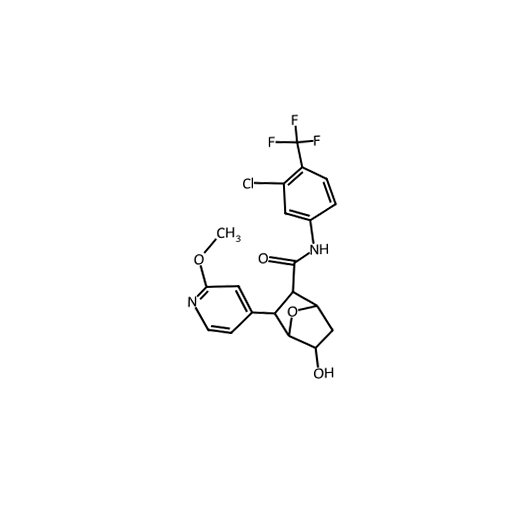 COc1cc(C2C3OC(CC3O)C2C(=O)Nc2ccc(C(F)(F)F)c(Cl)c2)ccn1